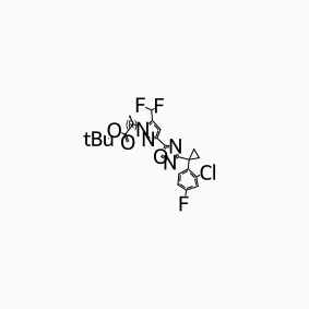 C[C@H](C(=O)OC(C)(C)C)n1nc(-c2nc(C3(c4ccc(F)cc4Cl)CC3)no2)cc1C(F)F